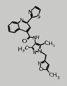 Cc1cc(Cn2nc(C)c(NC(=O)c3cc(-c4nccs4)nc4ccccc34)c2C)no1